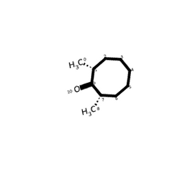 C[C@@H]1CCCCC[C@H](C)C1=O